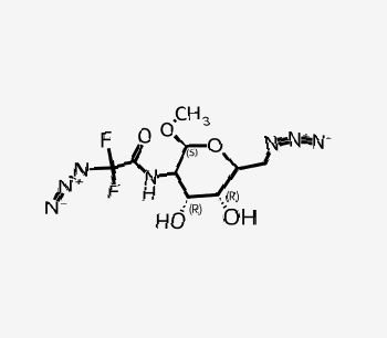 CO[C@H]1OC(CN=[N+]=[N-])[C@H](O)[C@H](O)C1NC(=O)C(F)(F)N=[N+]=[N-]